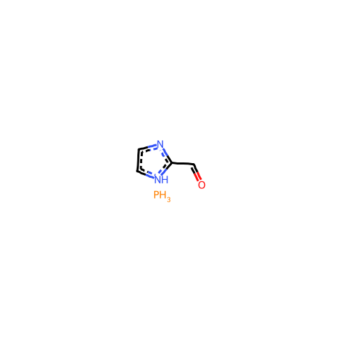 O=Cc1ncc[nH]1.P